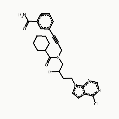 CCC(CCn1ccc2c(Cl)ncnc21)CN(CC#Cc1cccc(C(N)=O)c1)C(=O)C1CCCCC1